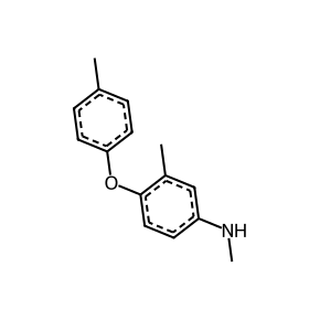 CNc1ccc(Oc2ccc(C)cc2)c(C)c1